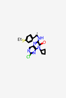 CCSc1ccc([C@H](C)Nc2nc3cnc(Cl)nc3n(C3CCC3)c2=O)cc1